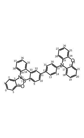 c1ccc2c(c1)OB1c3ccc(-c4ccc(N5c6ccccc6Oc6ccccc65)cc4)cc3-c3ccccc3N12